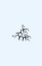 C[C@H](NC(=O)OC(C)(C)C)C(=O)OC(=O)C(C)(C)C